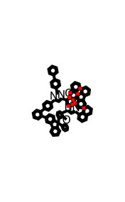 c1ccc(-c2ccc(-c3nc(-c4ccc(-c5ccccc5-c5ccc6c(c5)-c5ccccc5C65c6ccccc6Oc6c(-c7cc(-c8cccc9ccccc89)nc(-c8ccccc8)n7)cccc65)cc4)cc(-c4cccc5c4Oc4ccccc4C54c5ccccc5-c5ccccc54)n3)cc2)cc1